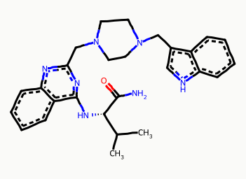 CC(C)[C@H](Nc1nc(CN2CCN(Cc3c[nH]c4ccccc34)CC2)nc2ccccc12)C(N)=O